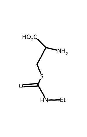 CCNC(=O)SCC(N)C(=O)O